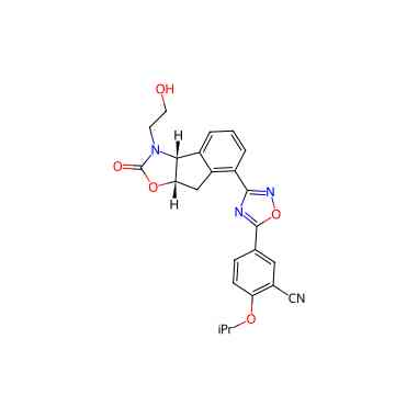 CC(C)Oc1ccc(-c2nc(-c3cccc4c3C[C@@H]3OC(=O)N(CCO)[C@H]43)no2)cc1C#N